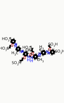 Cc1cc(N=Nc2ccc(S(=O)(=O)O)cc2OCCS(=O)(=O)O)ccc1N=Nc1cc(OCCCS(=O)(=O)O)c(NC(=O)Nc2cc(C)c(N=Nc3ccc(N=Nc4ccc(S(=O)(=O)O)cc4OCCS(=O)(=O)O)cc3C)cc2OCCCS(=O)(=O)O)cc1C